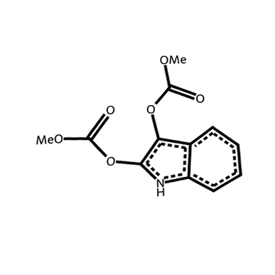 COC(=O)Oc1[nH]c2ccccc2c1OC(=O)OC